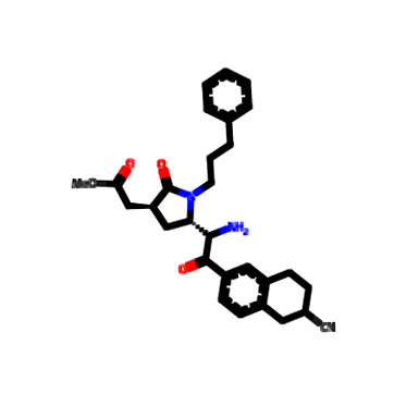 COC(=O)C[C@@H]1C[C@@H](C(N)C(=O)c2ccc3c(c2)CCC(C#N)C3)N(CCCc2ccccc2)C1=O